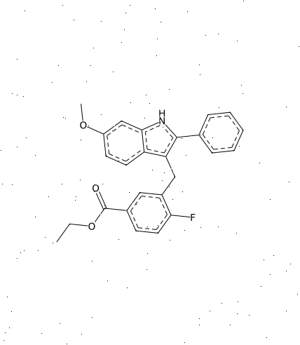 CCOC(=O)c1ccc(F)c(Cc2c(-c3ccccc3)[nH]c3cc(OC)ccc23)c1